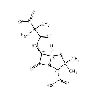 CC1(C)S[C@@H]2[C@H](NC(=O)C(C)(C)[N+](=O)[O-])C(=O)N2[C@H]1C(=O)O